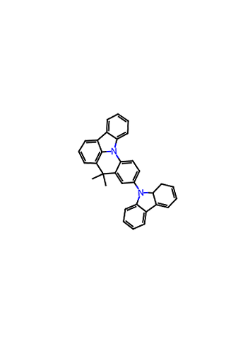 CC1(C)c2cc(N3c4ccccc4C4=CC=CCC43)ccc2-n2c3ccccc3c3cccc1c32